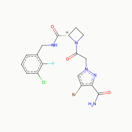 NC(=O)c1nn(CC(=O)N2CC[C@H]2C(=O)NCc2cccc(Cl)c2F)cc1Br